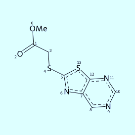 COC(=O)CSc1nc2cncnc2s1